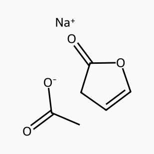 CC(=O)[O-].O=C1CC=CO1.[Na+]